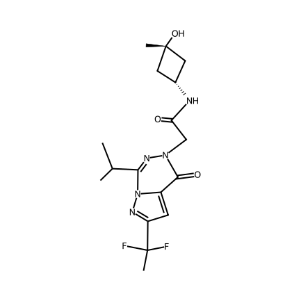 CC(C)c1nn(CC(=O)N[C@H]2C[C@@](C)(O)C2)c(=O)c2cc(C(C)(F)F)nn12